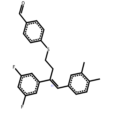 Cc1ccc(/C=C(\CCSc2ccc(C=O)cc2)c2cc(F)cc(F)c2)cc1C